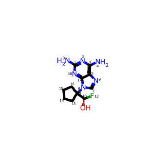 Nc1nc(N)c2ncn(C3([C@H](O)F)CCCC3)c2n1